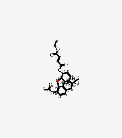 CCOC(=O)C=CC(=O)O[C@H]1C=C[C@H]2[C@H]3Cc4ccc(OC(C)=O)c5c4[C@@]2(CCN3C)[C@H]1O5